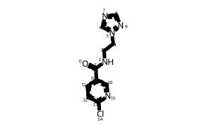 O=C(NCCn1cncn1)c1ccc(Cl)nc1